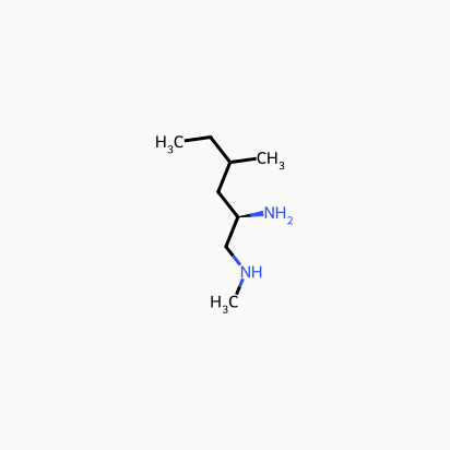 CCC(C)C[C@@H](N)CNC